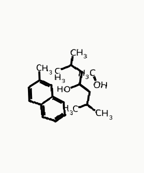 CC(C)CC(O)CC(C)C.CO.Cc1ccc2ccccc2c1